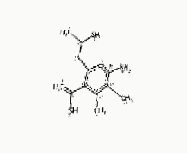 C=C(S)c1c(CC(C)S)cc(N)c(C)c1C